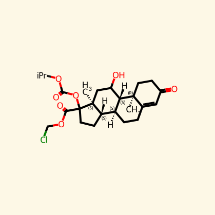 CC(C)OC(=O)OC1(C(=O)OCCl)CC[C@H]2[C@@H]3CCC4=CC(=O)CC[C@]4(C)[C@H]3C(O)C[C@@]21C